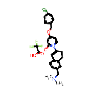 CN(C)Cc1ccc2c(c1)CCC(n1ccc(OCc3ccc(Cl)cc3)cc1=O)=C2.O=C(O)C(F)(F)F